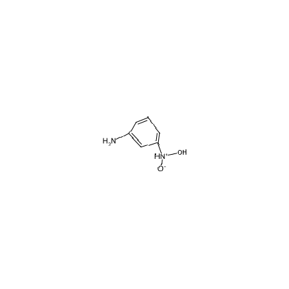 Nc1cccc([NH+]([O-])O)c1